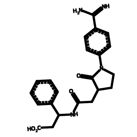 N=C(N)c1ccc(N2CCC(CC(=O)NC(CC(=O)O)c3ccccc3)C2=O)cc1